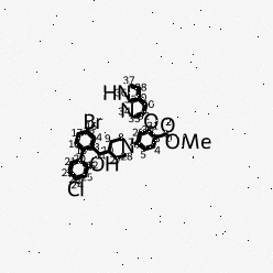 COC(=O)c1ccc(N2CCC(C(O)c3cc(Br)ccc3-c3ccc(Cl)cc3)CC2)cc1Oc1cnc2[nH]ccc2c1